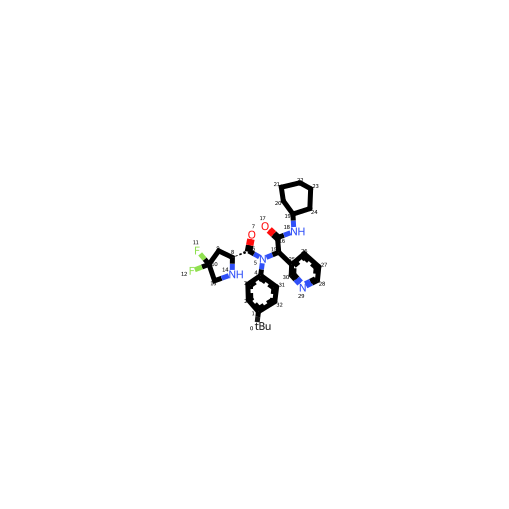 CC(C)(C)c1ccc(N(C(=O)[C@H]2CC(F)(F)CN2)C(C(=O)NC2CCCCC2)c2cccnc2)cc1